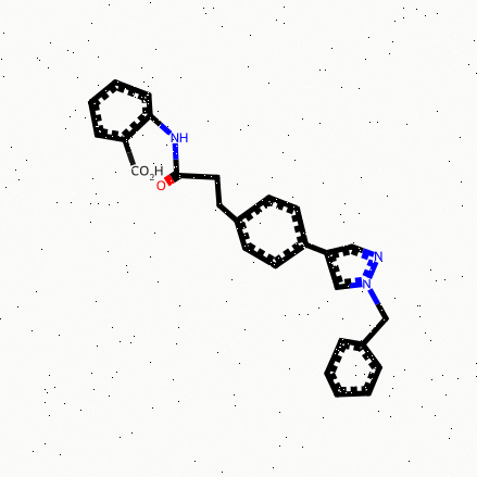 O=C(CCc1ccc(-c2cnn(Cc3ccccc3)c2)cc1)Nc1ccccc1C(=O)O